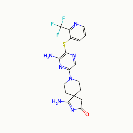 NC1=NC(=O)CC12CCN(c1cnc(Sc3cccnc3C(F)(F)F)c(N)n1)CC2